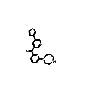 O=C(c1cncc(-c2ccsc2)c1)c1cccc(N2CCCNCC2)n1